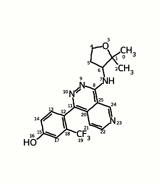 CC1(C)OCCC1Nc1nnc(-c2ccc(O)cc2C(F)(F)F)c2ccncc12